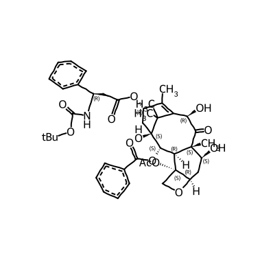 CC(=O)O[C@@]12CO[C@@H]1C[C@H](O)[C@@]1(C)C(=O)[C@H](O)C3=C(C)[C@@H](OC(=O)C[C@@H](NC(=O)OC(C)(C)C)c4ccccc4)C[C@@](O)([C@@H](OC(=O)c4ccccc4)[C@H]21)C3(C)C